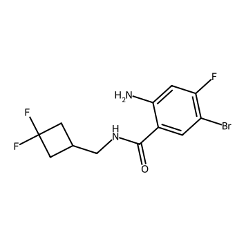 Nc1cc(F)c(Br)cc1C(=O)NCC1CC(F)(F)C1